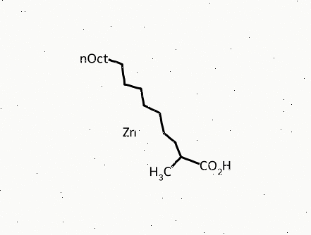 CCCCCCCCCCCCCCCC(C)C(=O)O.[Zn]